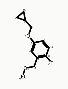 CCOCc1cc(OCC2CC2)ccc1F